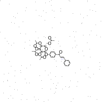 CC(=O)OC[C@@H]1O[C@@H](Oc2ccc(C(=O)/C=C/c3ccccc3)cc2)[C@@H](OC(C)=O)[C@@H](OC(C)=O)[C@H]1OC(C)=O